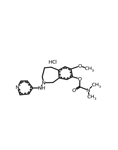 COc1cc2c(cc1OC(=O)N(C)C)CN(Nc1ccncc1)CCC2.Cl